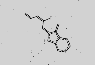 C=C/C=C(F)\C=c1\[nH]c2ccccc2c1=C